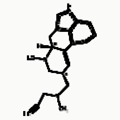 C#CCN(C)C[C@@H]1C=C2c3cccc4[nH]cc(c34)C[C@H]2N(C)C1